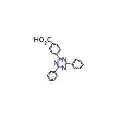 O=C(O)c1ccc(-c2nc(-c3ccccc3)nc(-c3ccccc3)n2)cc1